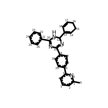 Cc1cccc(-c2ccc(C3=NC(C4=CCCC=C4)NC(c4ccccc4)=N3)cc2)n1